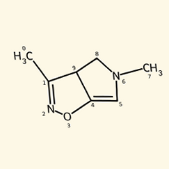 CC1=NOC2=CN(C)CC21